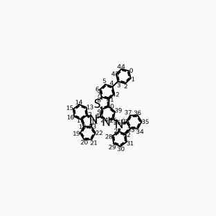 c1ccc(-c2ccc3sc4c(-n5c6ccccc6c6ccccc65)nc(-n5c6ccccc6c6ccccc65)cc4c3c2)cc1